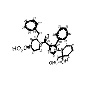 O=CCC1(O)CCCC[C@@H]1n1cnc(C(=O)N2CCN(C(=O)O)C[C@H]2Cc2ccccc2)c1-c1ccccc1